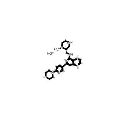 CN1CCNC[C@H]1CNc1nc(-c2ccc(N3CCOCC3)nc2)cc2nccnc12.Cl